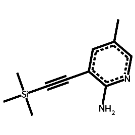 Cc1cnc(N)c(C#C[Si](C)(C)C)c1